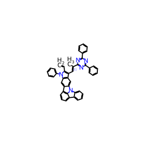 C=Cc1c(/C=C(\C)c2nc(-c3ccccc3)nc(-c3ccccc3)n2)c2cc3c(cc2n1-c1ccccc1)c1cccc2c4ccccc4n3c21